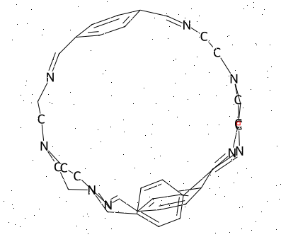 C1=NCCN2CC/N=C/c3ccc(cc3)/C=N/CCN(CC/N=C\c3ccc1cc3)CC/N=C/c1ccc(cc1)/C=N/CC2